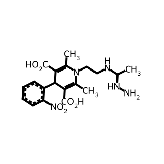 CC1=C(C(=O)O)C(c2ccccc2[N+](=O)[O-])C(C(=O)O)=C(C)N1CCNC(C)NN